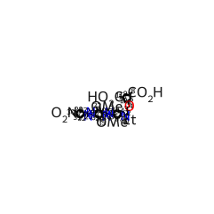 CCN(CCOc1cc(C(=O)O)cc(C(=O)O)c1)c1ccc(/N=N/c2cc(OC)c(/N=N/c3ccc([N+](=O)[O-])cc3)cc2OC)cc1